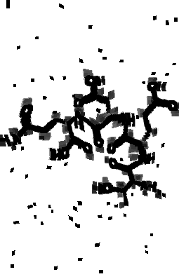 C[C@@H](O)[C@H](N)C(=O)N[C@@H](CCC(=O)O)C(=O)N[C@@H](CC(=O)O)C(=O)N[C@@H](CCC(N)=O)C(=O)O